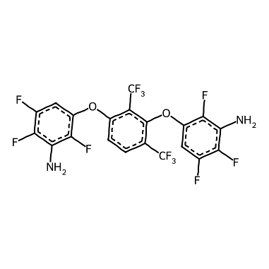 Nc1c(F)c(F)cc(Oc2ccc(C(F)(F)F)c(Oc3cc(F)c(F)c(N)c3F)c2C(F)(F)F)c1F